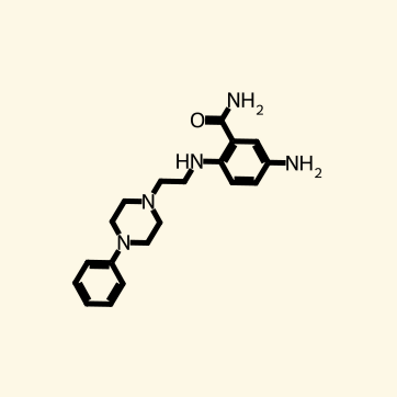 NC(=O)c1cc(N)ccc1NCCN1CCN(c2ccccc2)CC1